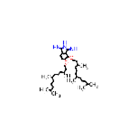 CC(C)CCCC(C)CCCC(C)CCOc1ccc2c(c1OCCC(C)CCCC(C)CCCC(C)C)C(=N)NC2=N